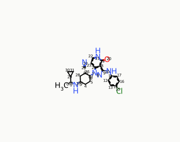 C[C@H](N[C@@H]1CC[C@H](n2nc(Nc3ccc(Cl)cc3)c3c(=O)[nH]ccc32)[C@@H](C#N)C1)C1CC1